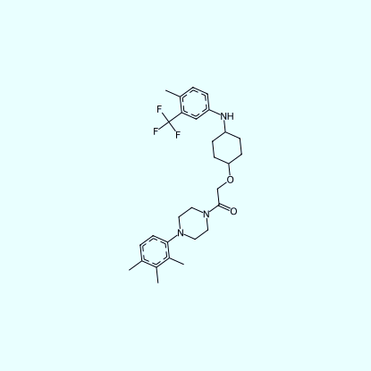 Cc1ccc(NC2CCC(OCC(=O)N3CCN(c4ccc(C)c(C)c4C)CC3)CC2)cc1C(F)(F)F